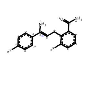 NC(=O)c1cccc(F)c1C/C=C(\N)c1ccc(F)cc1